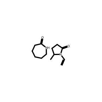 C=CN1C(=O)CCC1C.O=C1CCCCCN1